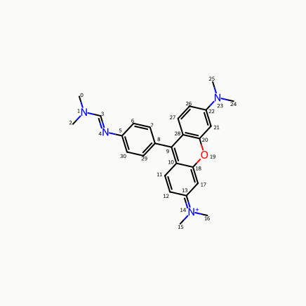 CN(C)C=Nc1ccc(-c2c3ccc(=[N+](C)C)cc-3oc3cc(N(C)C)ccc23)cc1